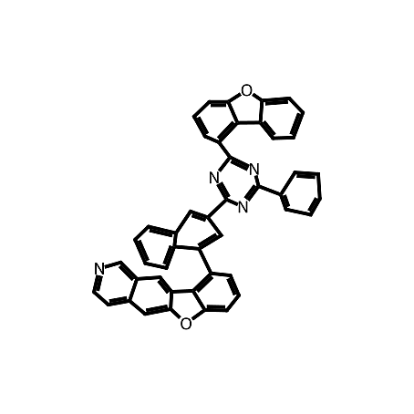 c1ccc(-c2nc(-c3cc(-c4cccc5oc6cc7ccncc7cc6c45)c4ccccc4c3)nc(-c3cccc4oc5ccccc5c34)n2)cc1